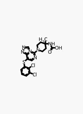 CC1(NC(=O)O)CCN(c2ncc(Sc3cccc(Cl)c3Cl)c3nncn23)CC1